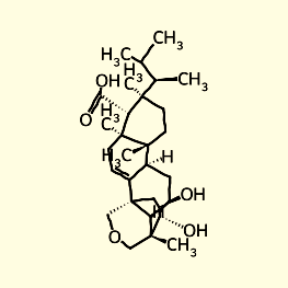 CC(C)[C@@H](C)[C@@]1(C)CC[C@]2(C)[C@H]3CC[C@@H]4[C@@]5(COC[C@@]4(C)[C@@H](O)[C@H](O)C5)C3=CC[C@@]2(C)[C@@H]1C(=O)O